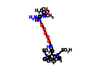 Cc1nn(-c2ccc(C(N)=O)c(NCCCOCCOCCOCCOCCOCCCNCc3ccc(C(=C\C=C4\N(CCCCS(=O)(=O)O)c5ccccc5C4(C)C)/C=C/C4=[N+](CCCCS(=O)(=O)O)c5ccccc5C4(C)C)cc3)c2)c2c1C(=O)CC(C)(C)C2